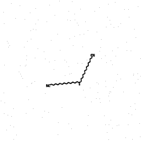 C=C(CCCCCCCCCCCCCC#N)CCCCCCCCCCCCCC#N